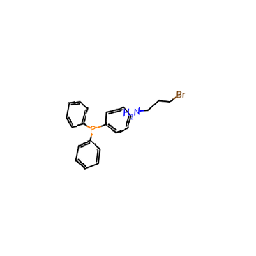 NCCCBr.c1ccc(P(c2ccccc2)c2ccccc2)cc1